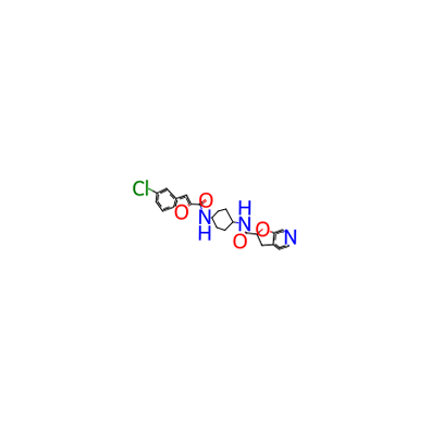 O=C(NC1CCC(NC(=O)C2Cc3ccncc3O2)CC1)c1cc2cc(Cl)ccc2o1